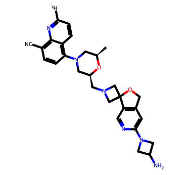 [2H]c1ccc2c(N3C[C@H](CN4CC5(C4)OCc4cc(N6CC(N)C6)ncc45)O[C@H](C)C3)ccc(C#N)c2n1